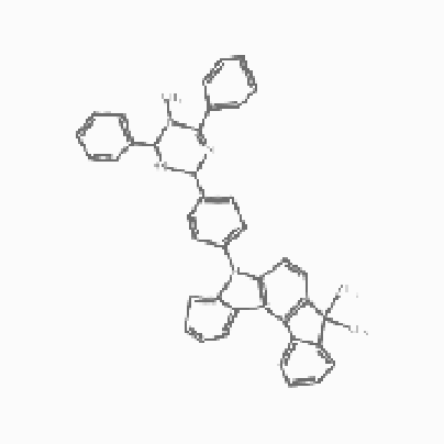 CN1C(c2ccccc2)=NC(c2ccc(-n3c4ccccc4c4c5c(ccc43)C(C)(C)c3ccccc3-5)cc2)NC1c1ccccc1